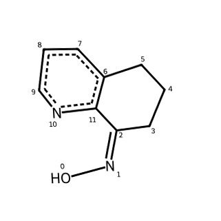 O/N=C1/CCCc2cccnc21